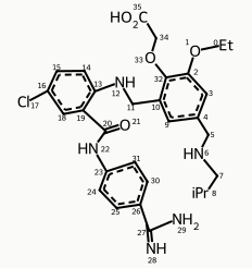 CCOc1cc(CNCC(C)C)cc(CNc2ccc(Cl)cc2C(=O)Nc2ccc(C(=N)N)cc2)c1OCC(=O)O